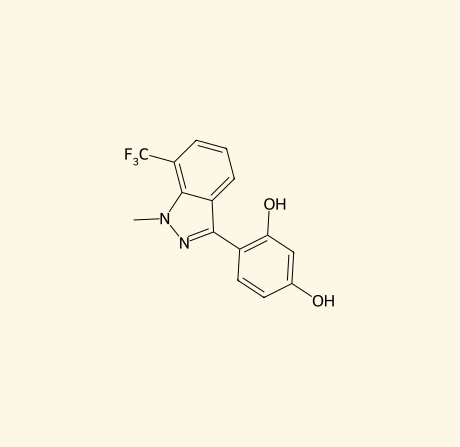 Cn1nc(-c2ccc(O)cc2O)c2cccc(C(F)(F)F)c21